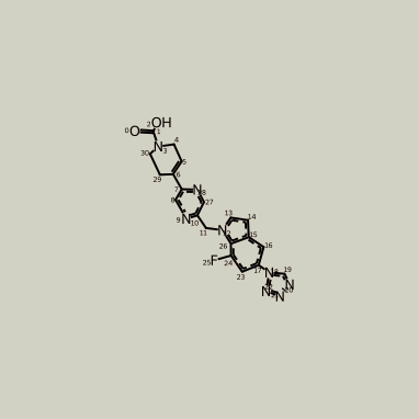 O=C(O)N1CC=C(c2cnc(Cn3ccc4cc(-n5cnnn5)cc(F)c43)cn2)CC1